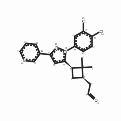 CC1(C)[C@@H](CC=O)C[C@H]1c1cc(-c2cccnc2)nn1-c1ccc(Cl)c(Cl)c1